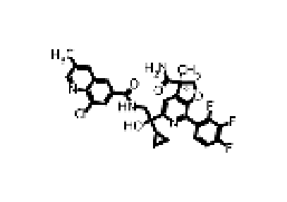 Cc1cnc2c(Cl)cc(C(=O)NCC(O)(c3cc4c(c(-c5ccc(F)c(F)c5F)n3)OC[C@]4(C)C(N)=O)C3CC3)cc2c1